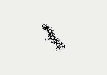 CC1(C)CC(NC(=O)c2ccc(Oc3cccc(N4CCOCC4)c3)c(Cl)c2)CC(C)(C)N1